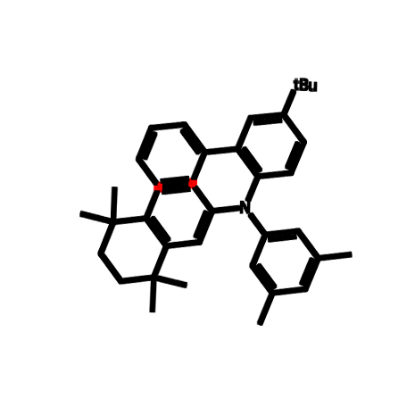 Cc1cc(C)cc(N(c2ccc3c(c2)C(C)(C)CCC3(C)C)c2ccc(C(C)(C)C)cc2-c2ccccc2)c1